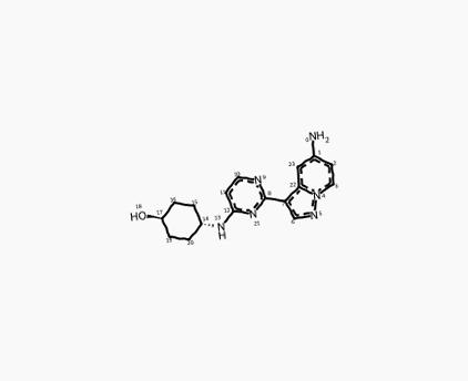 Nc1ccn2ncc(-c3nccc(N[C@H]4CC[C@H](O)CC4)n3)c2c1